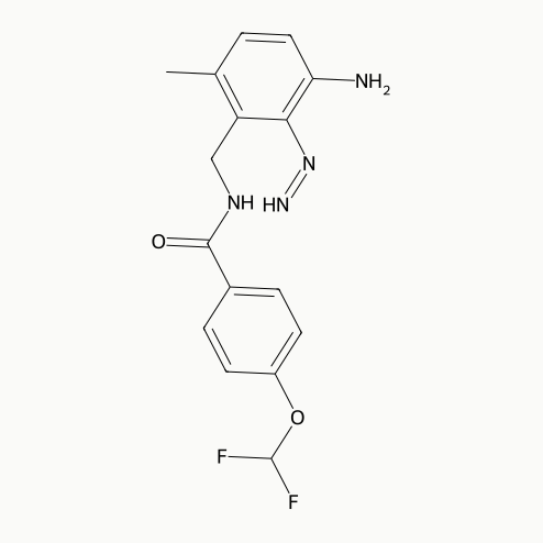 Cc1ccc(N)c(N=N)c1CNC(=O)c1ccc(OC(F)F)cc1